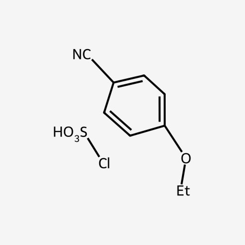 CCOc1ccc(C#N)cc1.O=S(=O)(O)Cl